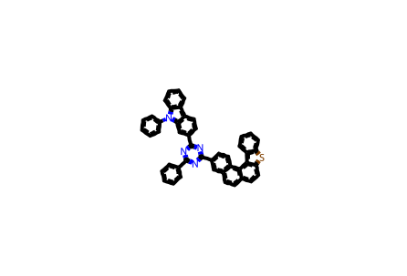 c1ccc(-c2nc(-c3ccc4c(ccc5ccc6sc7ccccc7c6c54)c3)nc(-c3ccc4c5ccccc5n(-c5ccccc5)c4c3)n2)cc1